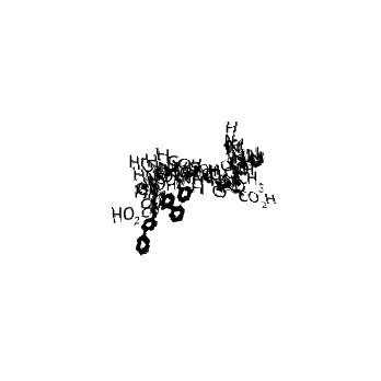 C[C@@H](O)[C@H](NC(=O)CNC(=O)[C@H](CCC(=O)O)NC(=O)C(C)(C)NC(=O)[C@H](Cc1c[nH]cn1)NC(=O)[C@@H]1CCCN1)C(=O)N[C@@H](Cc1ccccc1)C(=O)N[C@H](C(=O)N[C@@H](CO)C(=O)N[C@@H](CC(=O)O)C(=O)N[C@@H](Cc1ccc(-c2ccccc2)cc1)C(=O)N[C@@H](Cc1ccc(-c2ccccc2)cc1)C(=O)O)[C@@H](C)O